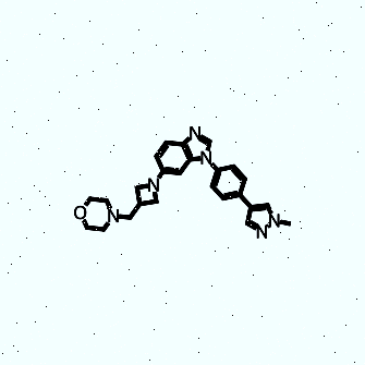 Cn1cc(-c2ccc(-n3cnc4ccc(N5CC(CN6CCOCC6)C5)cc43)cc2)cn1